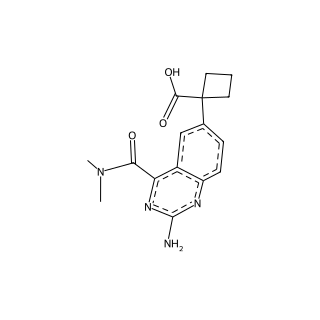 CN(C)C(=O)c1nc(N)nc2ccc(C3(C(=O)O)CCC3)cc12